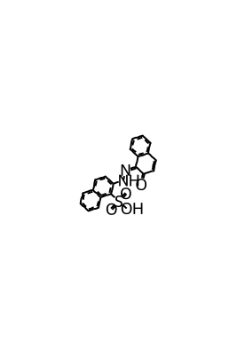 O=C1C=Cc2ccccc2/C1=N/Nc1ccc2ccccc2c1S(=O)(=O)O